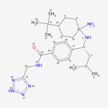 CC(C)C[C@@H](NC1(N)CCC(C(C)(C)C)CC1)c1ccc(C(=O)NCc2nn[nH]n2)cc1